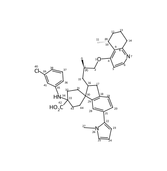 C[C@@H](COc1ccnc2c1[C@H](C)CCC2)CC1Cc2ccc(-c3cccn3C)cc2C12CCC(Nc1cccc(Cl)c1)(C(=O)O)CC2